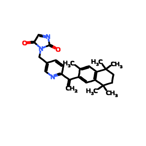 C=C(c1ccc(CN2C(=O)C=NC2=O)cn1)c1cc2c(cc1C)C(C)(C)CCC2(C)C